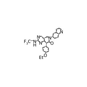 CCOc1ccc(-c2c(=O)n(-c3ccc4ncccc4c3)cc3cnc(NCC(F)(F)F)nc23)cc1